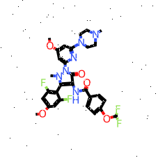 COc1cc(N2CCN(C)CC2)nc(-n2c(=O)c(NC(=O)c3ccc(OC(F)F)cc3)c(-c3c(F)cc(OC)cc3F)n2C)c1